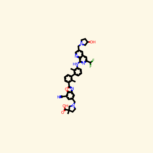 Cc1c(Nc2nc(C(F)F)cc3cc(CN4CCC(O)C4)cnc23)cccc1-c1cccc(-c2nc3cc(CN4CCC(C)(C(=O)O)C4)cc(C#N)c3o2)c1C